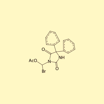 CC(=O)OC(Br)N1C(=O)NC(c2ccccc2)(c2ccccc2)C1=O